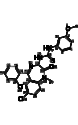 COc1cccc(NC(=S)NC2N=C(c3ccccc3Cl)c3cc(Cl)ccc3N(C)C2=O)c1